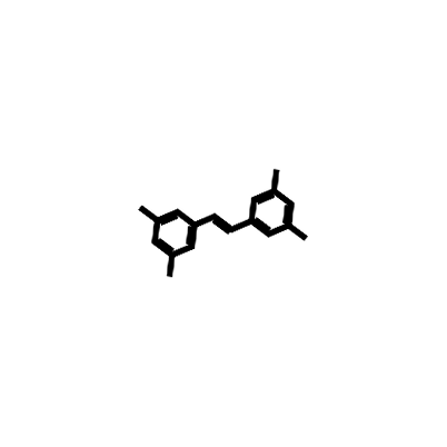 Cc1cc(C)cc(C=Cc2cc(C)cc(C)c2)c1